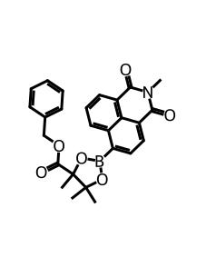 CN1C(=O)c2cccc3c(B4OC(C)(C)C(C)(C(=O)OCc5ccccc5)O4)ccc(c23)C1=O